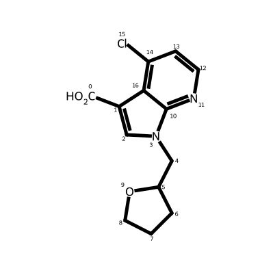 O=C(O)c1cn(CC2CCCO2)c2nccc(Cl)c12